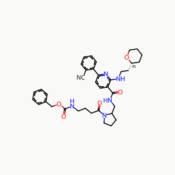 N#Cc1ccccc1-c1ccc(C(=O)NCC2CCCN2C(=O)CCCNC(=O)OCc2ccccc2)c(NCC[C@H]2CCCCO2)n1